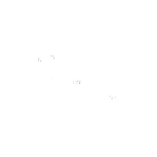 NCCNCc1nnco1